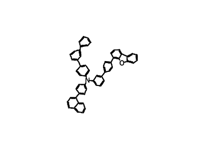 c1ccc(-c2cccc(-c3ccc(N(c4ccc(-c5cccc6ccccc56)cc4)c4cccc(-c5ccc(-c6cccc7c6oc6ccccc67)cc5)c4)cc3)c2)cc1